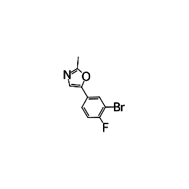 Cc1ncc(-c2ccc(F)c(Br)c2)o1